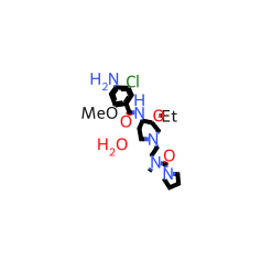 CCOC1CN(CCN(C)C(=O)N2CCCC2)CCC1NC(=O)c1cc(Cl)c(N)cc1OC.O